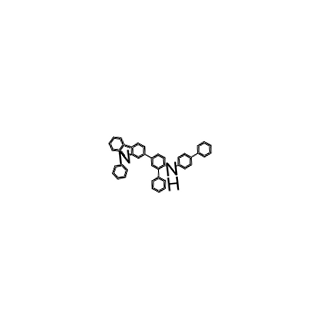 c1ccc(-c2ccc(Nc3ccc(-c4ccc5c6ccccc6n(-c6ccccc6)c5c4)cc3-c3ccccc3)cc2)cc1